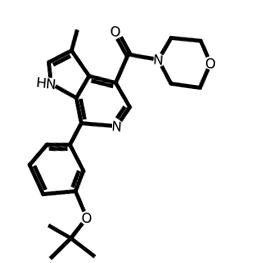 Cc1c[nH]c2c(-c3cccc(OC(C)(C)C)c3)ncc(C(=O)N3CCOCC3)c12